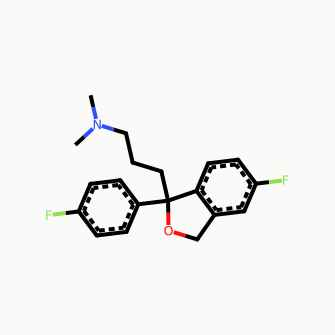 CN(C)CCCC1(c2ccc(F)cc2)OCc2cc(F)ccc21